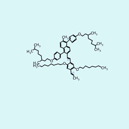 C/C=C/c1cc(OCCCCCCCC)c(/C=C/c2ccc3c(-c4ccc(OCCC(C)CCCC(C)C)cc4)c(C)ccc3c2-c2ccc(OCCC(C)CCCC(C)C)cc2)cc1OCCCCCCCC